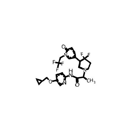 CC(C(=O)Nc1ccc(OCC2CC2)cn1)N1CCC(F)(F)C(c2ccc(=O)n(CC(F)(F)F)c2)C1